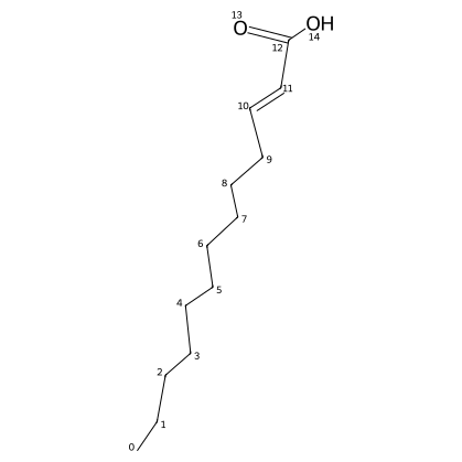 CCCCCCCCCC/C=C/C(=O)O